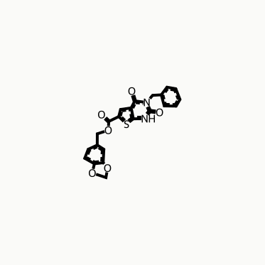 O=C(OCc1ccc2c(c1)OCO2)c1cc2c(=O)n(Cc3ccccc3)c(=O)[nH]c2s1